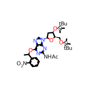 CC(=O)Nc1nc(OC(C)c2ccccc2[N+](=O)[O-])c2ncn([C@H]3C[C@@H](O[Si](C)(C)C(C)(C)C)[C@@H](CO[Si](C)(C)C(C)(C)C)O3)c2n1